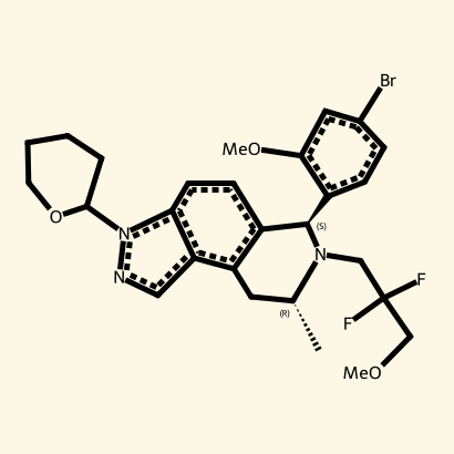 COCC(F)(F)CN1[C@H](c2ccc(Br)cc2OC)c2ccc3c(cnn3C3CCCCO3)c2C[C@H]1C